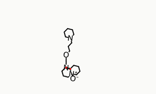 [O-][N+]12CCCCC13C=CN(OCCCN1CCCCC1)C=C3CCC2